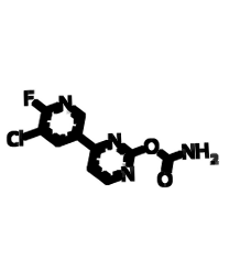 NC(=O)Oc1nccc(-c2cnc(F)c(Cl)c2)n1